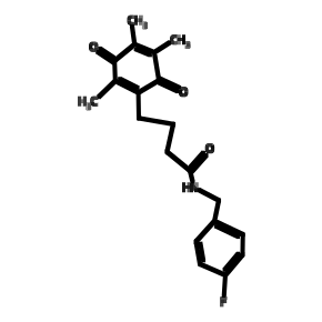 CC1=C(C)C(=O)C(CCCC(=O)NCc2ccc(F)cc2)=C(C)C1=O